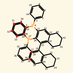 c1ccc(P(c2ccccc2)c2cc3c(c(-c4cccc5c4CCCC5)c2P(c2ccccc2)c2ccccc2)CCCC3)cc1